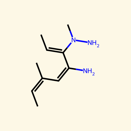 C\C=C(C)/C=C(N)\C(=C\C)N(C)N